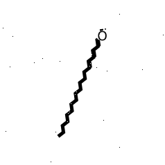 [CH2]OC=CC=CC=CCCCCCCCCCCCCC